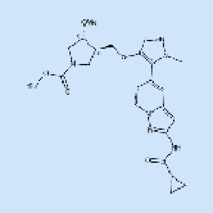 CO[C@H]1CN(C(=O)OC(C)(C)C)C[C@@H]1COc1cnn(C)c1-c1ccn2nc(NC(=O)C3CC3)cc2c1